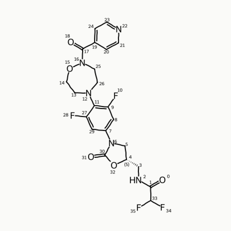 O=C(NC[C@H]1CN(c2cc(F)c(N3CCON(C(=O)c4ccncc4)CC3)c(F)c2)C(=O)O1)C(F)F